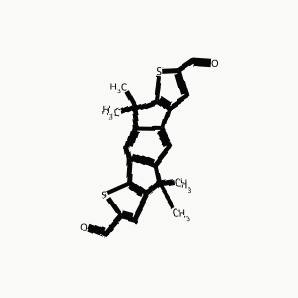 CC1(C)c2cc3c(cc2-c2sc(C=O)cc21)C(C)(C)c1sc(C=O)cc1-3